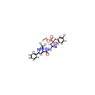 CCOC(=O)C1(Cc2cccc(C)c2)CC(CNC(=O)c2cc(-c3ccccc3)nn2C(C)C)=NO1